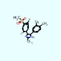 Cc1ccc(-c2[nH]c(C(F)(F)F)nc2-c2cc(F)c(S(C)(=O)=O)cc2F)cc1C#N